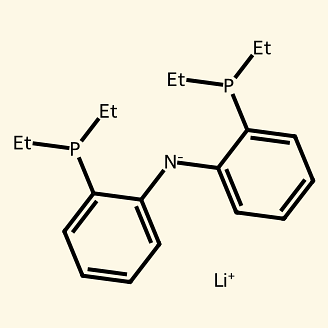 CCP(CC)c1ccccc1[N-]c1ccccc1P(CC)CC.[Li+]